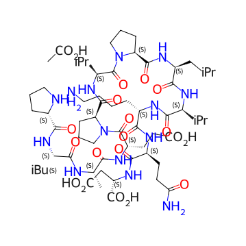 CC(=O)O.CC[C@H](C)[C@H](NC(=O)[C@@H]1CCCN1)C(=O)N[C@@H](C)C(=O)N[C@@H](CCC(=O)O)C(=O)N1CCC[C@H]1C(=O)N[C@H](C(=O)N1CCC[C@H]1C(=O)N[C@@H](CC(C)C)C(=O)N[C@H](C(=O)N[C@@H](CCCCN)C(=O)N[C@@H](CCC(N)=O)C(=O)N[C@@H](CC(=O)O)C(=O)O)C(C)C)C(C)C